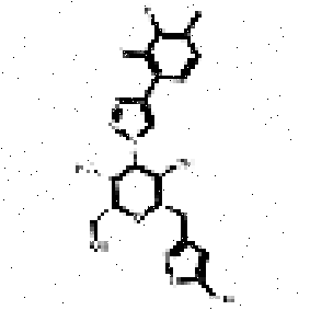 Cc1ccc(-c2cn([C@H]3[C@@H](O)[C@@H](CO)O[C@H](Cc4cc(C(C)(C)C)on4)[C@@H]3O)nn2)c(F)c1F